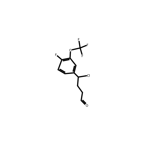 O=CCCC(Cl)c1ccc(F)c(OC(F)(F)F)c1